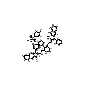 C[N+]1(C)C(C=CC2=C(c3ccccc3)C(=CC=C3C(c4ccccc4)c4cc5ccccc5cc4[N+]3(C)C)CCC2)=C(c2ccccc2)c2cc3ccccc3cc21.Cc1ccc(S(=O)(=O)O)cc1